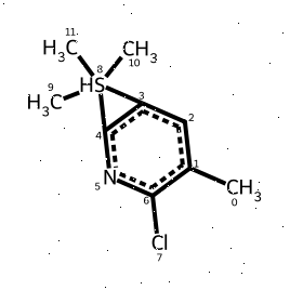 Cc1cc2c(nc1Cl)[SH]2(C)(C)C